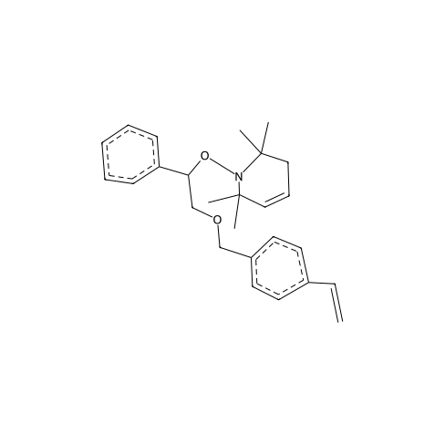 C=Cc1ccc(COCC(ON2C(C)(C)C=CCC2(C)C)c2ccccc2)cc1